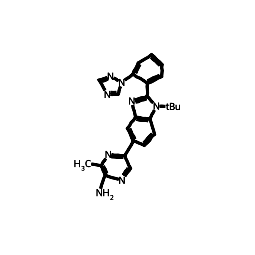 Cc1nc(-c2ccc3c(c2)nc(-c2ccccc2-n2cncn2)n3C(C)(C)C)cnc1N